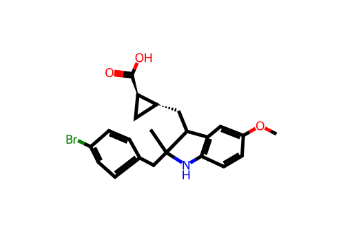 COc1ccc2c(c1)C(C[C@@H]1C[C@H]1C(=O)O)C(C)(Cc1ccc(Br)cc1)N2